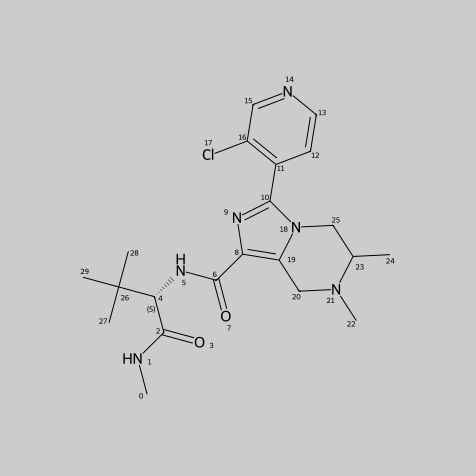 CNC(=O)[C@@H](NC(=O)c1nc(-c2ccncc2Cl)n2c1CN(C)C(C)C2)C(C)(C)C